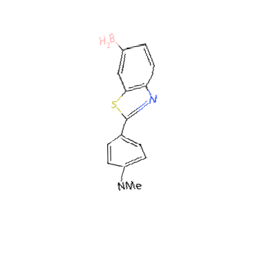 Bc1ccc2nc(-c3ccc(NC)cc3)sc2c1